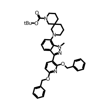 Cn1nc(-c2ccc(OCc3ccccc3)nc2OCc2ccccc2)c2cccc(N3CCCC4(CCCN(C(=O)OC(C)(C)C)C4)C3)c21